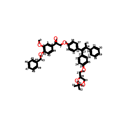 COc1cc(C(=O)COc2ccc(/C(=C(\C)c3ccccc3)c3ccc(OCC4COC(C)(C)O4)cc3)cc2)ccc1OCc1ccccc1